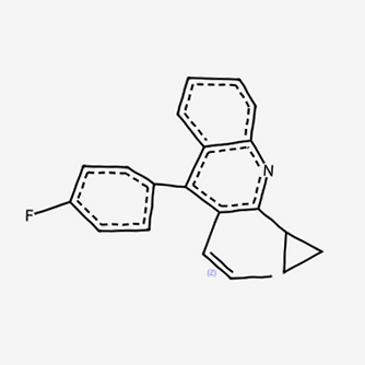 C/C=C\c1c(C2CC2)nc2ccccc2c1-c1ccc(F)cc1